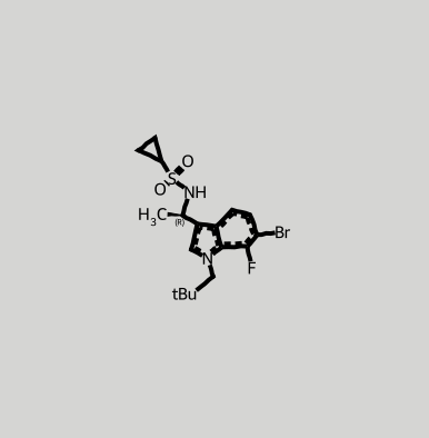 C[C@@H](NS(=O)(=O)C1CC1)c1cn(CC(C)(C)C)c2c(F)c(Br)ccc12